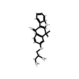 CC1(C)c2cc(OCC(O)CO)ccc2C(=O)c2c1oc1ccccc21